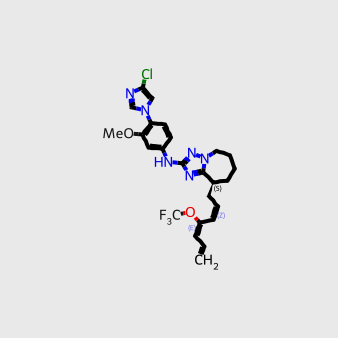 C=C/C=C(\C=C/C[C@@H]1CCCCn2nc(Nc3ccc(-n4cnc(Cl)c4)c(OC)c3)nc21)OC(F)(F)F